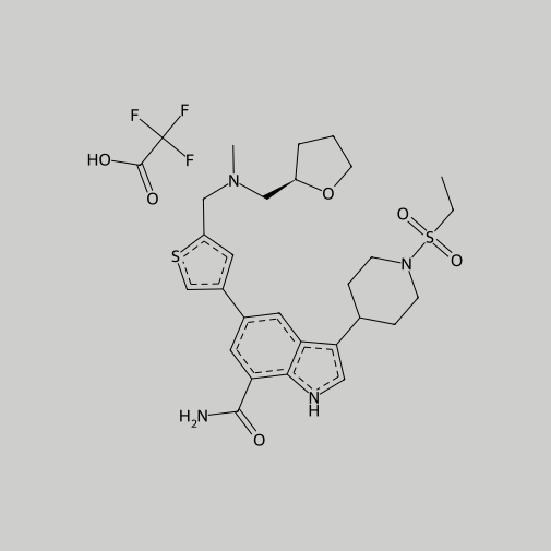 CCS(=O)(=O)N1CCC(c2c[nH]c3c(C(N)=O)cc(-c4csc(CN(C)C[C@H]5CCCO5)c4)cc23)CC1.O=C(O)C(F)(F)F